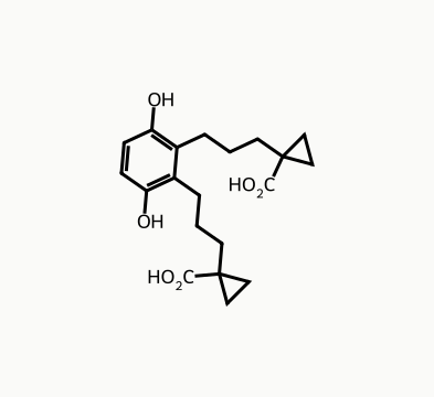 O=C(O)C1(CCCc2c(O)ccc(O)c2CCCC2(C(=O)O)CC2)CC1